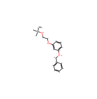 CC(C)(C)[Si](C)(C)OCCOc1c[c]cc(OCc2ccccc2)c1